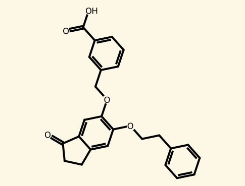 O=C(O)c1cccc(COc2cc3c(cc2OCCc2ccccc2)CCC3=O)c1